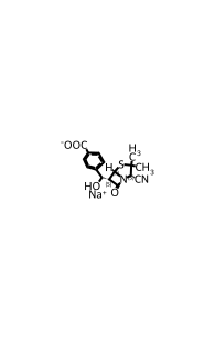 CC1(C)S[C@H]2[C@@H](C(O)c3ccc(C(=O)[O-])cc3)C(=O)N2[C@H]1C#N.[Na+]